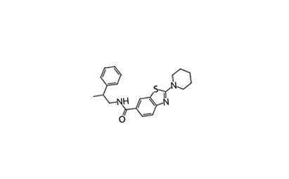 CC(CNC(=O)c1ccc2nc(N3CCCCC3)sc2c1)c1ccccc1